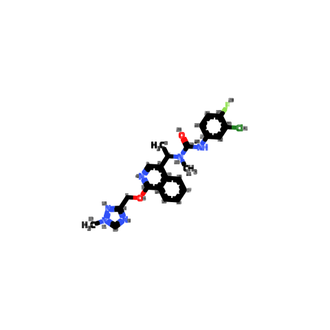 CC(c1cnc(OCc2ncn(C)n2)c2ccccc12)N(C)C(=O)Nc1ccc(F)c(Cl)c1